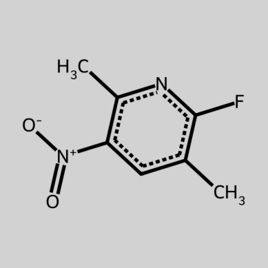 Cc1cc([N+](=O)[O-])c(C)nc1F